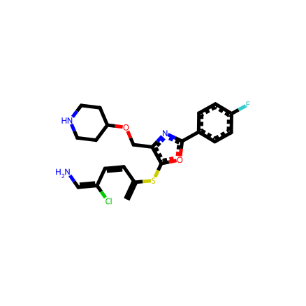 C=C(/C=C\C(Cl)=C/N)Sc1oc(-c2ccc(F)cc2)nc1COC1CCNCC1